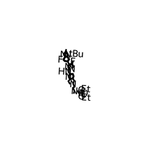 CCOP(=O)(CCN(C)CCN1CCc2nc(Nc3ncc(F)c(-c4cc(F)c5nc(C)n(C(C)(C)C)c5c4)n3)ccc2C1)OCC